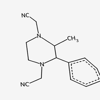 CC1C(c2ccccc2)N(CC#N)CCN1CC#N